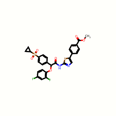 COC(=O)c1ccc(-c2cnc(NC(=O)C(Oc3ccc(F)cc3F)c3ccc(S(=O)(=O)C4CC4)cc3)s2)cc1